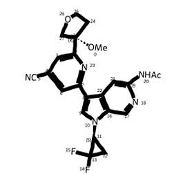 CO[C@@]1(c2cc(C#N)cc(-c3cn([C@H]4CC4(F)F)c4cnc(NC(C)=O)cc34)n2)CCOC1